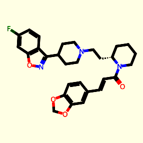 O=C(/C=C/c1ccc2c(c1)OCO2)N1CCCC[C@H]1CCN1CCC(c2noc3cc(F)ccc23)CC1